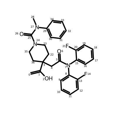 C=C(O)C1(CC(=O)N(c2ccccc2F)c2ccccc2F)CCN(C(=O)N(C)c2ccccc2)CC1